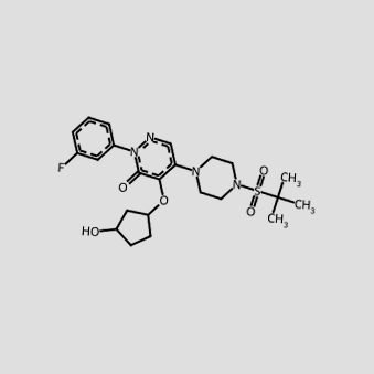 CC(C)(C)S(=O)(=O)N1CCN(c2cnn(-c3cccc(F)c3)c(=O)c2OC2CCC(O)C2)CC1